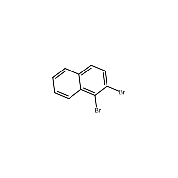 Brc1ccc2[c]cccc2c1Br